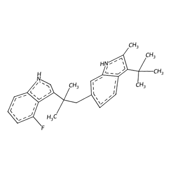 Cc1[nH]c2cc(CC(C)(C)c3c[nH]c4cccc(F)c34)ccc2c1C(C)(C)C